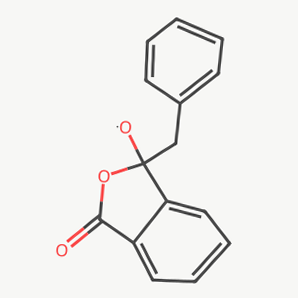 [O]C1(Cc2ccccc2)OC(=O)c2ccccc21